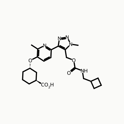 Cc1nc(-c2nnn(C)c2COC(=O)NCC2CCC2)ccc1O[C@H]1CCC[C@H](C(=O)O)C1